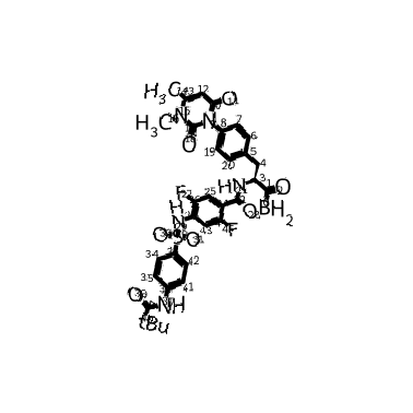 BC(=O)[C@H](Cc1ccc(-n2c(=O)cc(C)n(C)c2=O)cc1)NC(=O)c1cc(F)c(NS(=O)(=O)c2ccc(NC(=O)C(C)(C)C)cc2)cc1F